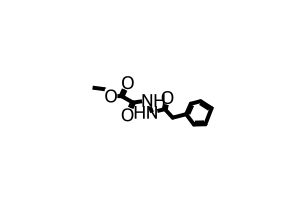 CCOC(=O)C(=O)NNC(=O)Cc1ccccc1